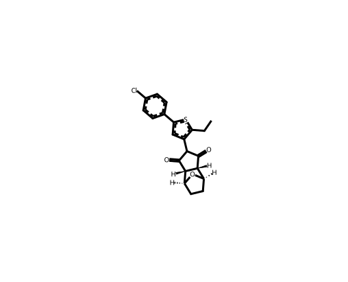 CCc1sc(-c2ccc(Cl)cc2)cc1C1C(=O)[C@@H]2[C@H](C1=O)[C@H]1CC[C@@H]2O1